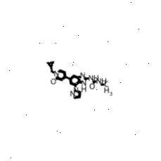 CCNC(=O)Nc1nc2cc(-c3ccn(CC4CC4)c(=O)c3)cc(-n3cccn3)c2[nH]1